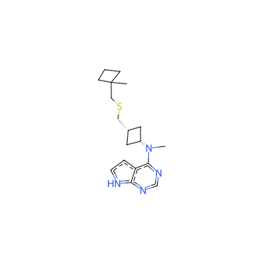 CN(c1ncnc2[nH]ccc12)[C@H]1C[C@@H](CSCC2(C)CCC2)C1